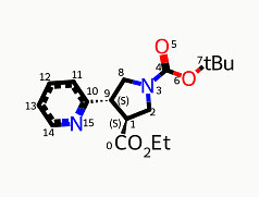 CCOC(=O)[C@@H]1CN(C(=O)OC(C)(C)C)C[C@H]1c1ccccn1